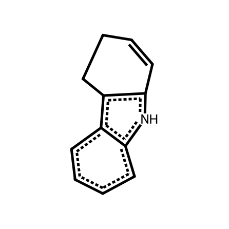 C1=Cc2[nH]c3ccccc3c2CC1